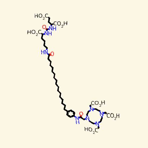 O=C(O)CCC(NC(=O)NC(CCCCNC(=O)CCCCCCCCCCCCCCCCCc1ccc(NC(=O)CN2CCN(CC(=O)O)CCN(CC(=O)O)CCN(CC(=O)O)CC2)cc1)C(=O)O)C(=O)O